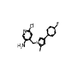 Cc1cc(-c2ccc(F)cc2)cn1Cc1cc(Cl)ncc1N